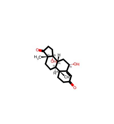 C[C@]12CCC(=O)C=C1[C@@H](O)C[C@@H]1[C@@H]2CC[C@]2(C)C(=O)CC[C@@]12O